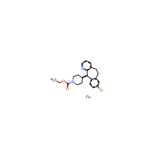 CCOC(=O)N1CCC(=C2c3ccc(Cl)cc3CCc3cccnc32)CC1.[Cu]